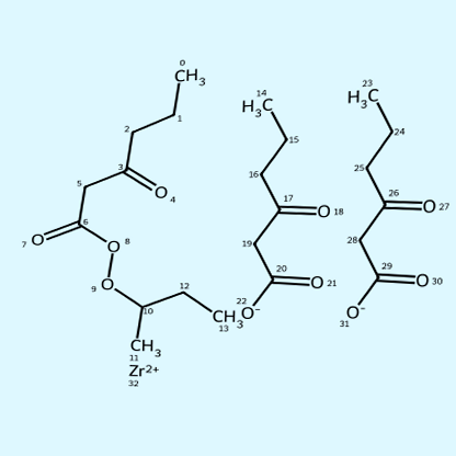 CCCC(=O)CC(=O)OOC(C)CC.CCCC(=O)CC(=O)[O-].CCCC(=O)CC(=O)[O-].[Zr+2]